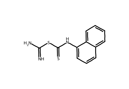 N=C(N)SC(=S)Nc1cccc2ccccc12